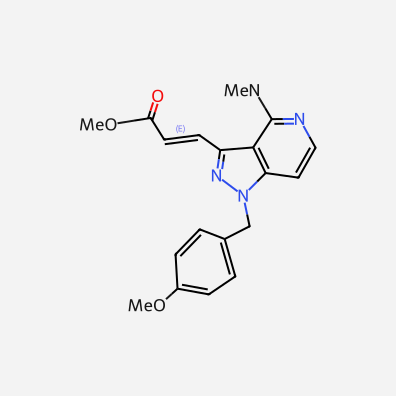 CNc1nccc2c1c(/C=C/C(=O)OC)nn2Cc1ccc(OC)cc1